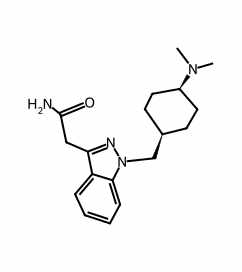 CN(C)[C@H]1CC[C@@H](Cn2nc(CC(N)=O)c3ccccc32)CC1